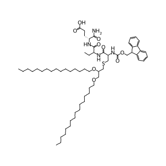 CCCCCCCCCCCCCCCCOCC(CSCC(NC(=O)OCC1c2ccccc2-c2ccccc21)C(=O)NC(CC)C(=O)N[C@H](CCC(=O)O)C(N)=O)OCCCCCCCCCCCCCCCC